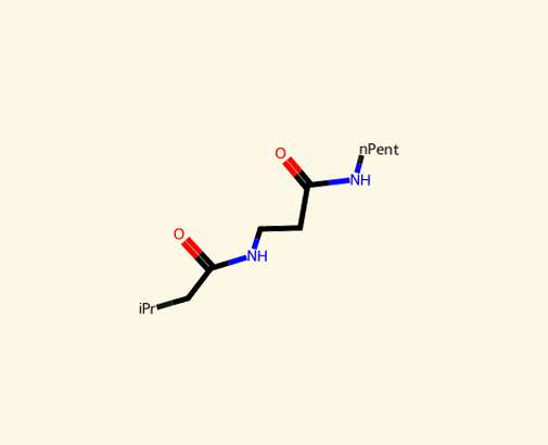 CCCCCNC(=O)CCNC(=O)CC(C)C